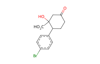 O=C1CCC(c2ccc(Br)cc2)C(O)(C(=O)O)C1